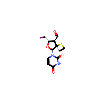 O=C[C@@H]1[C@@H](CI)O[C@@H](n2ccc(=O)[nH]c2=O)[C@@]12CCS2